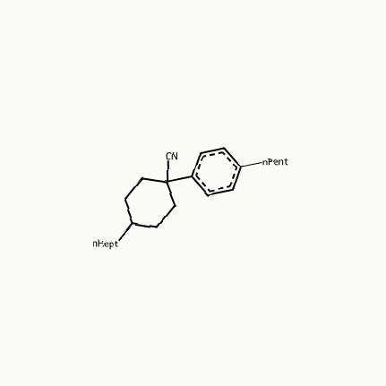 CCCCCCCC1CCC(C#N)(c2ccc(CCCCC)cc2)CC1